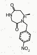 C[C@@H]1CC(=O)NCC(=O)N1Cc1ccc([N+](=O)[O-])cc1